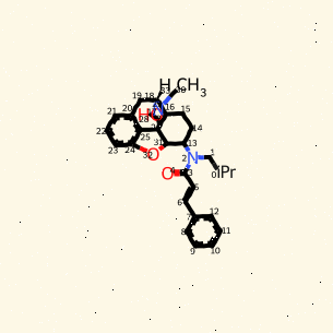 CC(C)CN(C(=O)/C=C/c1ccccc1)C1CC[C@@]2(O)[C@H]3Cc4cccc5c4[C@@]2(CCN3C)C1O5